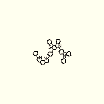 c1ccc(-c2ccc3ccc4ccc(-c5ccc(-c6cc7c(-c8ccc9c(c8)c8ccccc8n9-c8ccccc8)nc8ccccc8c7c7c6sc6ccccc67)cc5)nc4c3n2)cc1